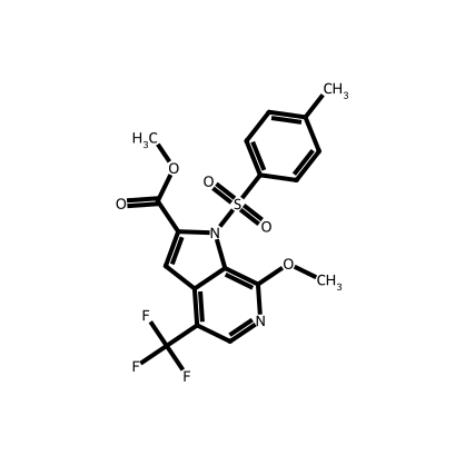 COC(=O)c1cc2c(C(F)(F)F)cnc(OC)c2n1S(=O)(=O)c1ccc(C)cc1